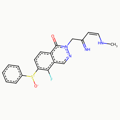 CN/C=C\C(=N)Cn1ncc2c(F)c([S+]([O-])c3ccccc3)ccc2c1=O